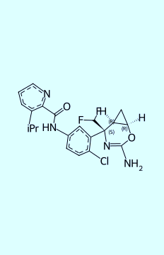 CC(C)c1cccnc1C(=O)Nc1ccc(Cl)c([C@@]2(C(F)F)N=C(N)O[C@@H]3C[C@@H]32)c1